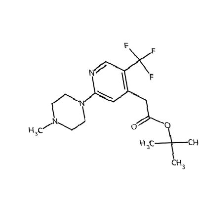 CN1CCN(c2cc(CC(=O)OC(C)(C)C)c(C(F)(F)F)cn2)CC1